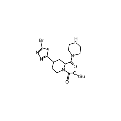 CC(C)(C)OC(=O)N1CCC(c2nnc(Br)s2)CC1C(=O)N1CCNCC1